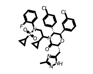 Cc1n[nH]c(C[C@H]2O[C@H](c3cccc(Cl)c3)[C@@H](c3ccc(Cl)cc3)N(C(CN(c3ccccc3F)S(=O)(=O)C3CC3)C3CC3)C2=O)n1